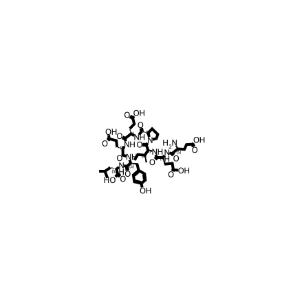 CC[C@H](C)[C@H](NC(=O)[C@H](CCC(=O)O)NC(=O)[C@@H](N)CCC(=O)O)C(=O)N1CCC[C@H]1C(=O)N[C@@H](CCC(=O)O)C(=O)N[C@@H](CCC(=O)O)C(=O)N[C@@H](Cc1ccc(O)cc1)C(=O)N[C@@H](CC(C)C)C(=O)O